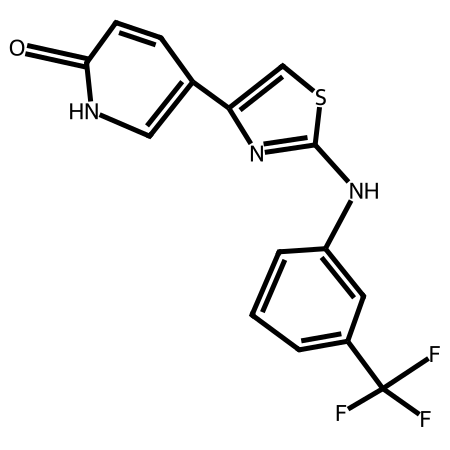 O=c1ccc(-c2csc(Nc3cccc(C(F)(F)F)c3)n2)c[nH]1